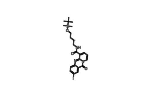 CC(C)(C)[Si](C)(C)OCC[CH]CNC(=O)c1cccn2c(=O)c3cc(I)ccc3nc12